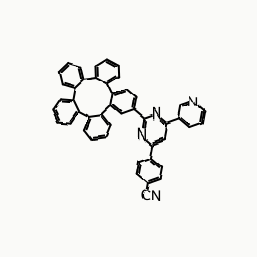 N#Cc1ccc(-c2cc(-c3cccnc3)nc(-c3ccc4c5ccccc5c5ccccc5c5ccccc5c5ccccc5c4c3)n2)cc1